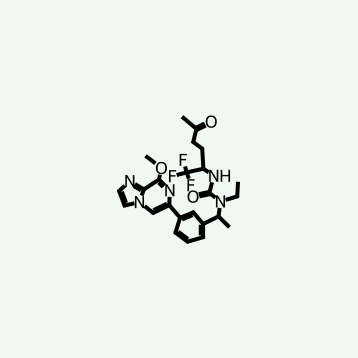 CCN(C(=O)NC(CCC(C)=O)C(F)(F)F)C(C)c1cccc(-c2cn3ccnc3c(OC)n2)c1